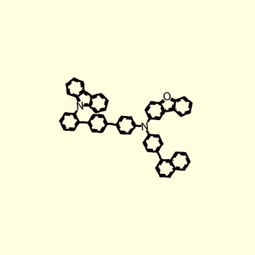 c1ccc(-n2c3ccccc3c3ccccc32)c(-c2ccc(-c3ccc(N(c4ccc(-c5cccc6ccccc56)cc4)c4ccc5oc6ccccc6c5c4)cc3)cc2)c1